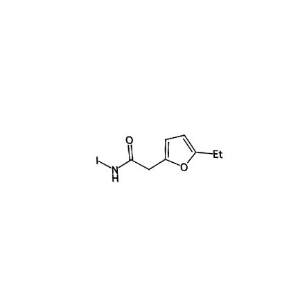 CCc1ccc(CC(=O)NI)o1